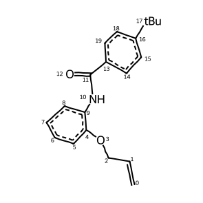 C=CCOc1ccccc1NC(=O)c1ccc(C(C)(C)C)cc1